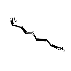 C=CC=CSC=CC=C